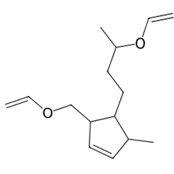 C=COCC1C=CC(C)C1CCC(C)OC=C